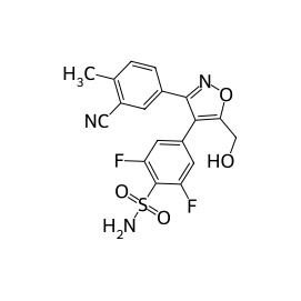 Cc1ccc(-c2noc(CO)c2-c2cc(F)c(S(N)(=O)=O)c(F)c2)cc1C#N